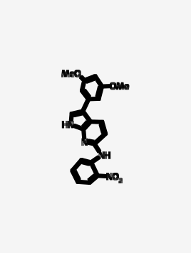 COc1cc(OC)cc(-c2c[nH]c3nc(Nc4ccccc4[N+](=O)[O-])ccc23)c1